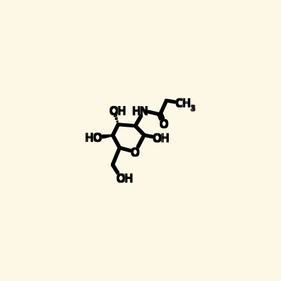 CCC(=O)NC1C(O)OC(CO)[C@@H](O)[C@@H]1O